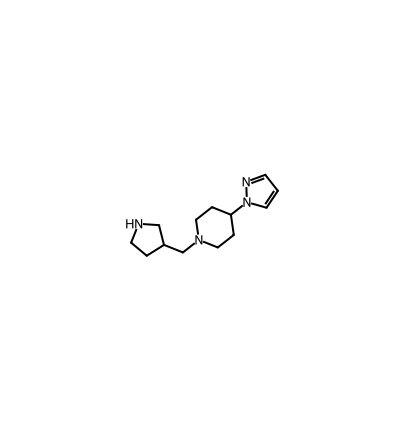 c1cnn(C2CCN(CC3CCNC3)CC2)c1